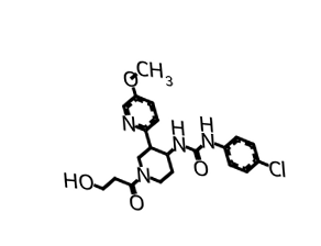 COc1ccc(C2CN(C(=O)CCO)CCC2NC(=O)Nc2ccc(Cl)cc2)nc1